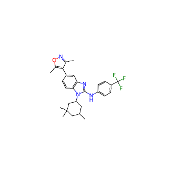 Cc1noc(C)c1-c1ccc2c(c1)nc(Nc1ccc(C(F)(F)F)cc1)n2C1CC(C)CC(C)(C)C1